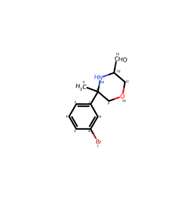 CC1(c2cccc(Br)c2)COCC(C=O)N1